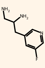 NCC(N)Cc1cncc(F)c1